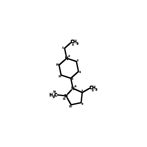 CCN1CCC(N2C(C)CCN2C)CC1